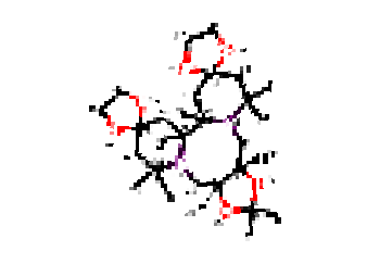 CC1(C)O[C@H]2CP3C(C)(C)CC4(CC3(C)C3(C)CC5(CC(C)(C)P3C[C@@H]2O1)OCCO5)OCCO4